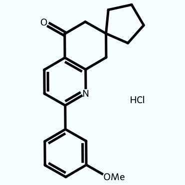 COc1cccc(-c2ccc3c(n2)CC2(CCCC2)CC3=O)c1.Cl